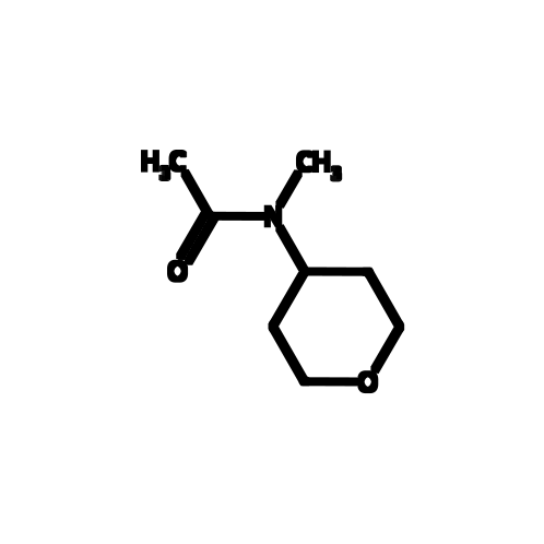 CC(=O)N(C)C1CCOCC1